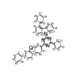 c1ccc(-c2ccc3c(c2)oc2cc(-c4nc(-c5ccccc5)nc(-n5c6ccccc6c6c(-c7ccccc7)cccc65)n4)ccc23)cc1